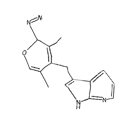 CC1=COC(N=[N])C(C)=C1Cc1c[nH]c2ncccc12